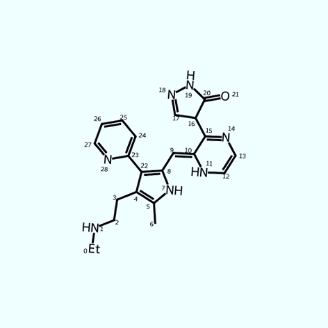 CCNCCc1c(C)[nH]c(C=C2NC=CN=C2C2C=NNC2=O)c1-c1ccccn1